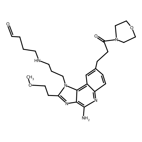 COCCc1nc2c(N)nc3ccc(CCC(=O)N4CCOCC4)cc3c2n1CCCNCCCC=O